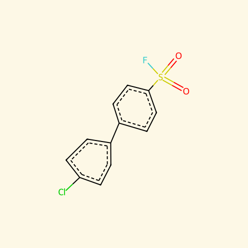 O=S(=O)(F)c1ccc(-c2ccc(Cl)cc2)cc1